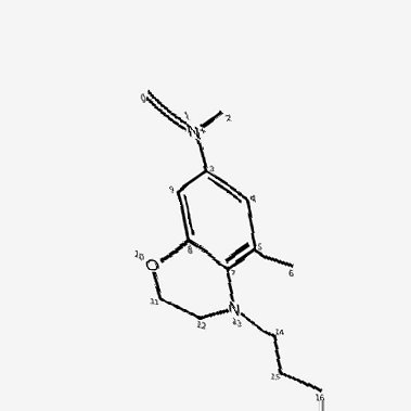 C=[N+](C)c1cc(C)c2c(c1)OCCN2CCC